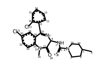 CC1CCN(C(=S)NC2N=C(c3ccccc3Cl)c3cc(Cl)ccc3N(C)C2=O)CC1